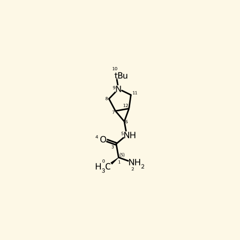 C[C@H](N)C(=O)NC1C2CN(C(C)(C)C)CC21